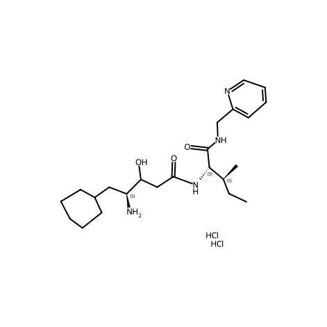 CC[C@H](C)[C@H](NC(=O)CC(O)[C@@H](N)CC1CCCCC1)C(=O)NCc1ccccn1.Cl.Cl